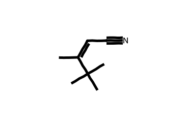 C/C(=C/C#N)C(C)(C)C